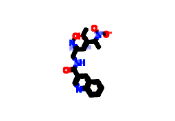 CC/C(=C\C(CNC(=O)c1cnc2ccccc2c1)=N/O)C(C)[N+](=O)[O-]